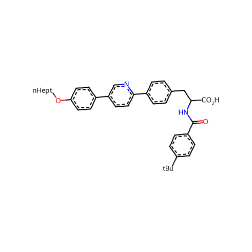 CCCCCCCOc1ccc(-c2ccc(-c3ccc(CC(NC(=O)c4ccc(C(C)(C)C)cc4)C(=O)O)cc3)nc2)cc1